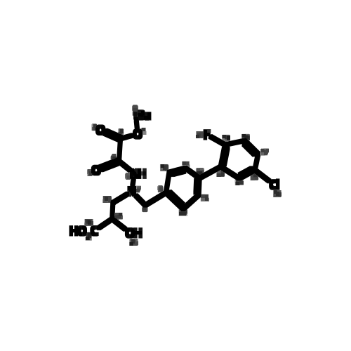 CC(C)(C)OC(=O)C(=O)NN(Cc1ccc(-c2cc(Cl)ccc2F)cc1)CC(O)C(=O)O